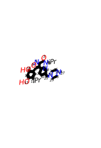 CC(C)NC(=O)c1noc(-c2cc(C(C)C)c(O)cc2O)c1-c1ccc(CN2CCN(C)CC2)cc1